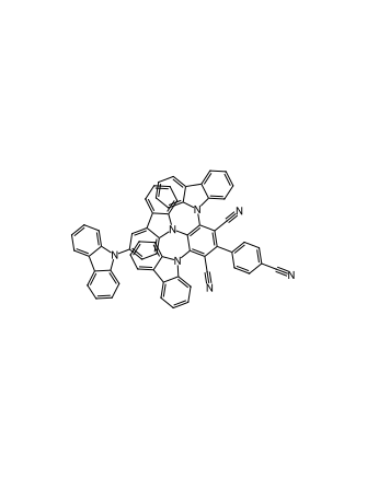 N#Cc1ccc(-c2c(C#N)c(-n3c4ccccc4c4ccccc43)c(-n3c4ccccc4c4cc(-n5c6ccccc6c6ccccc65)ccc43)c(-n3c4ccccc4c4ccccc43)c2C#N)cc1